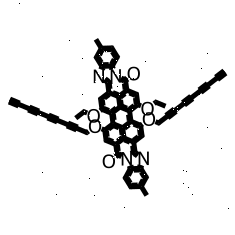 C#CC#CC#CC#CCOc1cc2c(=O)n3c4ccc(C)cc4nc3c3cc(OCC#CC#CC#CC#C)c4c5c(OCC)cc6c(=O)n7c8ccc(C)cc8nc7c7cc(OCC)c(c1c4c23)c5c67